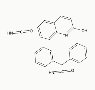 N=C=O.N=C=O.Oc1ccc2ccccc2n1.c1ccc(Cc2ccccc2)cc1